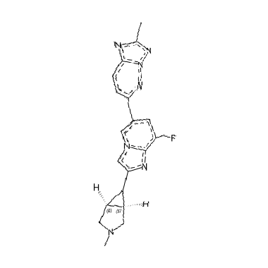 Cc1nc2ccc(-c3cc(F)c4nc(C5[C@H]6CN(C)C[C@@H]56)cn4c3)nn2n1